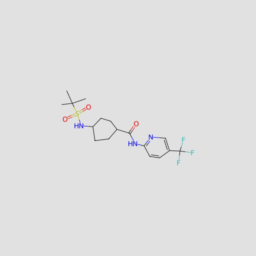 CC(C)(C)S(=O)(=O)NC1CCC(C(=O)Nc2ccc(C(F)(F)F)cn2)CC1